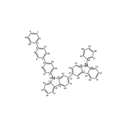 c1ccc(-c2ccc(-c3ccc(-n4c5ccccc5c5ccc(-c6ccc7c(c6)c6ccccc6n7-c6ccccc6)cc54)cc3)cc2)cc1